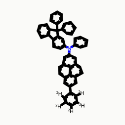 [2H]c1c([2H])c([2H])c(-c2cc3ccc4cc(N(c5ccccc5)c5ccc6c(c5)C(c5ccccc5)(c5ccccc5)c5ccccc5-6)cc5ccc(c2)c3c45)c([2H])c1[2H]